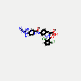 N#C/N=C(\N)N[C@H]1CC[C@@H](C(=O)Nc2ccc(C[C@H](NC(=O)c3c(Cl)cccc3Cl)C(=O)O)cc2)CC1